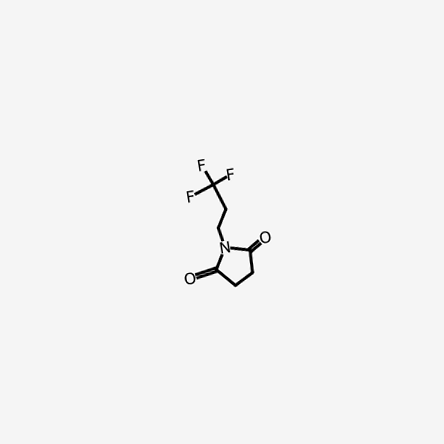 O=C1CCC(=O)N1CCC(F)(F)F